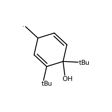 [CH2]C1C=CC(O)(C(C)(C)C)C(C(C)(C)C)=C1